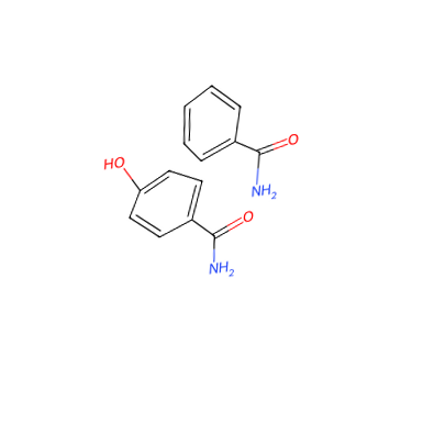 NC(=O)c1ccc(O)cc1.NC(=O)c1ccccc1